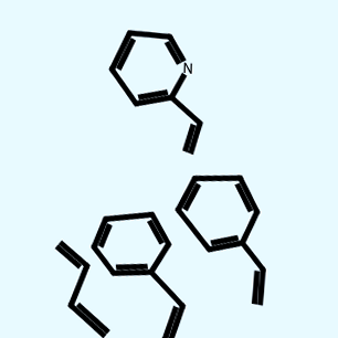 C=CC=C.C=Cc1ccccc1.C=Cc1ccccc1.C=Cc1ccccn1